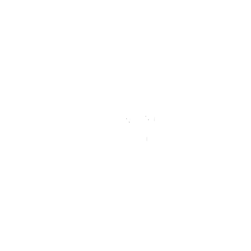 C=C1NCCN1c1ccccc1